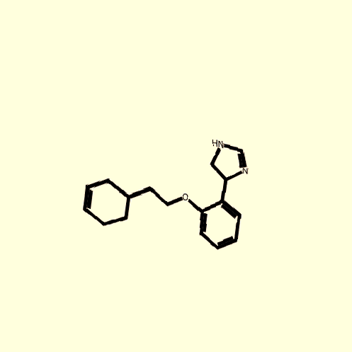 C1=CCC(CCOc2ccccc2C2CNC=N2)CC1